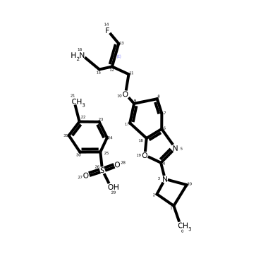 CC1CN(c2nc3ccc(OC/C(=C/F)CN)cc3o2)C1.Cc1ccc(S(=O)(=O)O)cc1